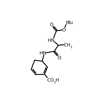 CC(NC(=O)OC(C)(C)C)C(=O)NC1C=C(C(=O)O)C=CC1